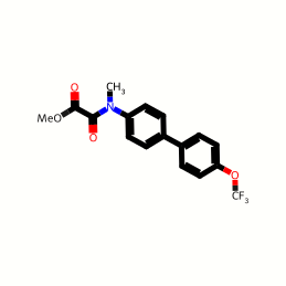 COC(=O)C(=O)N(C)c1ccc(-c2ccc(OC(F)(F)F)cc2)cc1